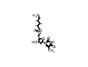 Cc1cn([C@H]2C[C@H](O)[C@@H](CO[PH](=O)CCCCCN)O2)c(=O)[nH]c1=O